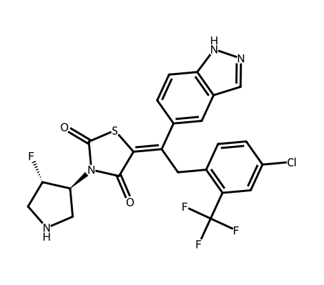 O=C1S/C(=C(/Cc2ccc(Cl)cc2C(F)(F)F)c2ccc3[nH]ncc3c2)C(=O)N1[C@H]1CNC[C@@H]1F